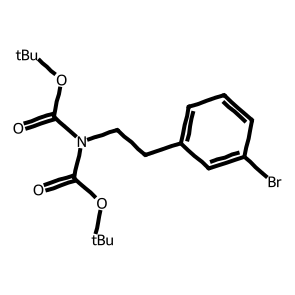 CC(C)(C)OC(=O)N(CCc1cccc(Br)c1)C(=O)OC(C)(C)C